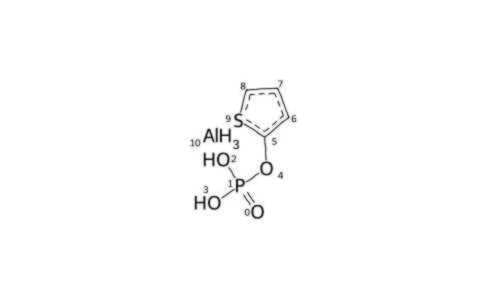 O=P(O)(O)Oc1cccs1.[AlH3]